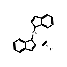 C1=C[CH]([Zr+2][CH]2C=Cc3ccccc32)c2ccccc21.C=C.[Cl-].[H-]